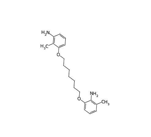 Cc1cccc(OCCCCCCCOc2cccc(N)c2C)c1N